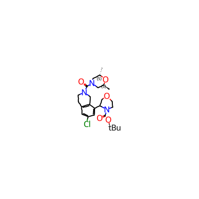 C[C@H]1CN(C(=O)N2CCc3cc(Cl)cc(C4COCCN4C(=O)OC(C)(C)C)c3C2)C[C@H](C)O1